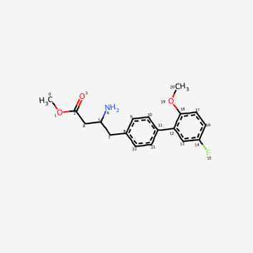 COC(=O)CC(N)Cc1ccc(-c2cc(F)ccc2OC)cc1